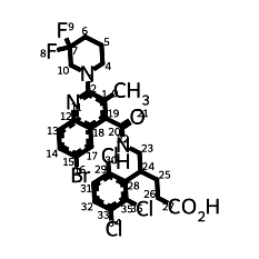 Cc1c(N2CCCC(F)(F)C2)nc2ccc(Br)cc2c1C(=O)NCC(CCC(=O)O)c1c(Cl)ccc(Cl)c1Cl